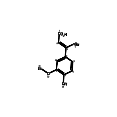 CCCCC(=CC(=O)O)c1ccc(O)c(OCC)c1